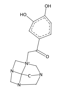 O=C(C[N+]12CN3CN4CN(C1)C42C3)c1ccc(O)c(O)c1